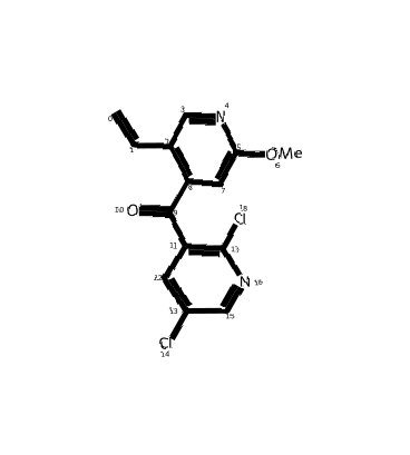 C=Cc1cnc(OC)cc1C(=O)c1cc(Cl)cnc1Cl